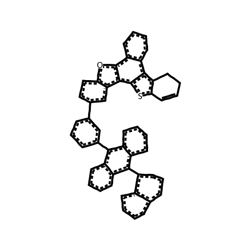 C1=Cc2sc3c(c2CC1)c1ccccc1c1oc2ccc(-c4cccc(-c5c6ccccc6c(-c6cccc7ccccc67)c6ccccc56)c4)cc2c13